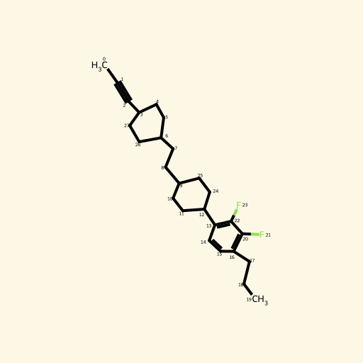 CC#CC1CCC(CCC2CCC(c3ccc(CCC)c(F)c3F)CC2)CC1